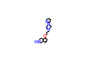 c1ccc(N2CCN(CCCOc3cccc4c3CCNC4)CC2)nc1